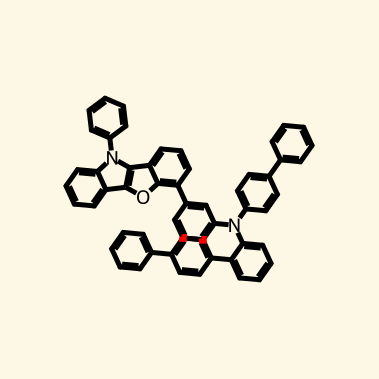 c1ccc(-c2ccc(-c3ccccc3N(c3ccc(-c4ccccc4)cc3)c3cccc(-c4cccc5c4oc4c6ccccc6n(-c6ccccc6)c54)c3)cc2)cc1